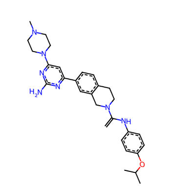 C=C(Nc1ccc(OC(C)C)cc1)N1CCc2ccc(-c3cc(N4CCN(C)CC4)nc(N)n3)cc2C1